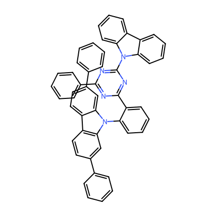 c1ccc(-c2ccc3c4ccc(-c5ccccc5)cc4n(-c4ccccc4-c4nc(-c5ccccc5)nc(-n5c6ccccc6c6ccccc65)n4)c3c2)cc1